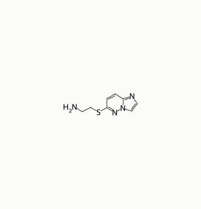 NCCSc1ccc2nccn2n1